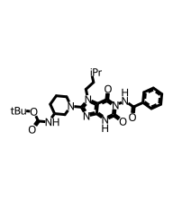 CC(C)CCn1c(N2CCCC(NC(=O)OC(C)(C)C)C2)nc2[nH]c(=O)n(NC(=O)c3ccccc3)c(=O)c21